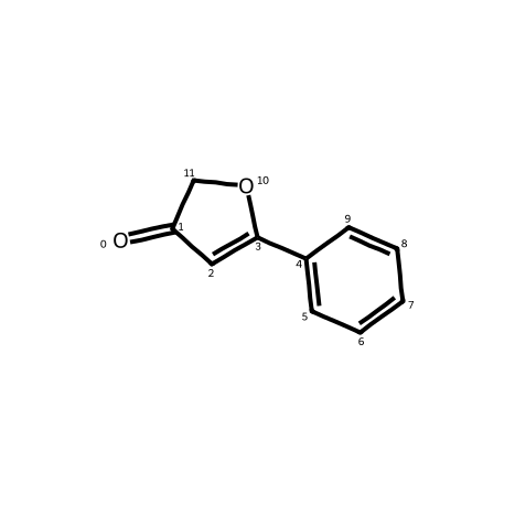 O=C1C=C(c2ccccc2)OC1